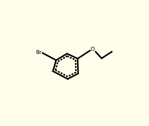 CCOc1cc[c]c(Br)c1